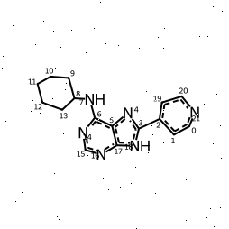 c1cc(-c2nc3c(NC4CCCCC4)ncnc3[nH]2)ccn1